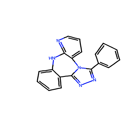 c1ccc(-c2nnc3n2-c2cccnc2Nc2ccccc2-3)cc1